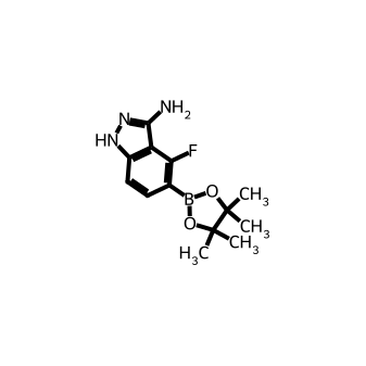 CC1(C)OB(c2ccc3[nH]nc(N)c3c2F)OC1(C)C